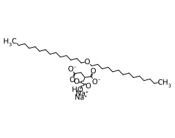 CCCCCCCCCCCCCCOCCCCCCCCCCCCCC.O=C([O-])CC(C(=O)[O-])S(=O)(=O)O.[Na+].[Na+]